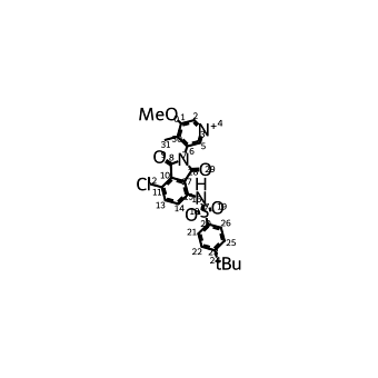 COc1c[n+](C)cc(N2C(=O)c3c(Cl)ccc(NS(=O)(=O)c4ccc(C(C)(C)C)cc4)c3C2=O)c1C